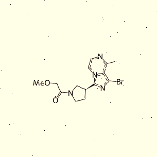 COCC(=O)N1CC[C@H](c2nc(Br)c3c(C)nccn23)C1